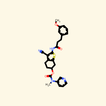 COc1cccc(CCC(=O)Nc2sc3c(c2C#N)CCC(OC(=O)N(C)c2cccnc2)C3)c1